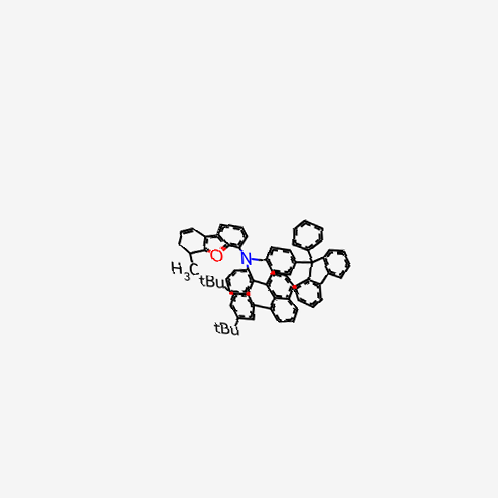 CC1CC=Cc2c1oc1c(N(c3ccc(C4(c5ccccc5)c5ccccc5-c5ccccc54)cc3)c3ccccc3-c3cccc4cccc(-c5cc(C(C)(C)C)cc(C(C)(C)C)c5)c34)cccc21